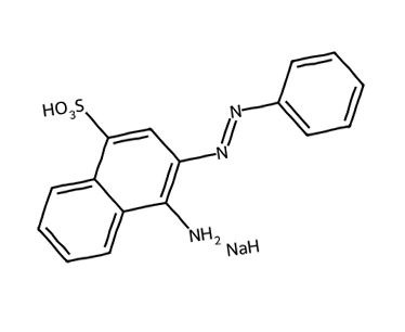 Nc1c(N=Nc2ccccc2)cc(S(=O)(=O)O)c2ccccc12.[NaH]